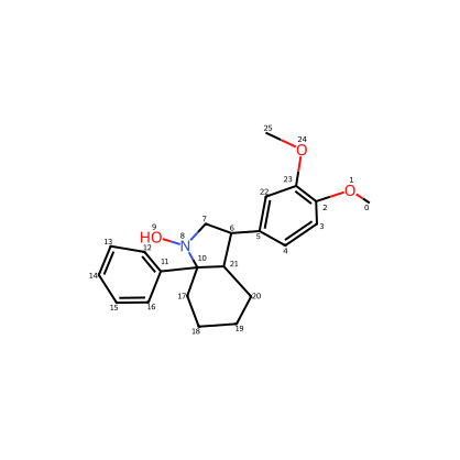 COc1ccc(C2CN(O)C3(c4ccccc4)CCCCC23)cc1OC